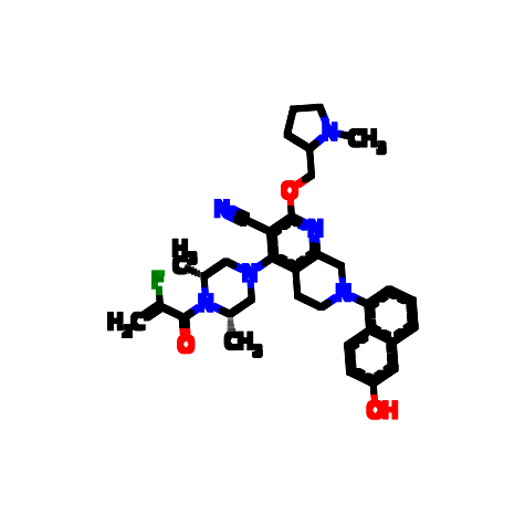 C=C(F)C(=O)N1[C@H](C)CN(c2c(C#N)c(OCC3CCCN3C)nc3c2CCN(c2cccc4cc(O)ccc24)C3)C[C@@H]1C